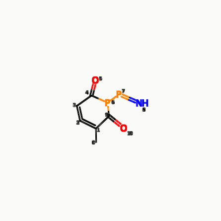 CC1=C=CC(=O)P(P=N)C1=O